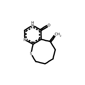 C=C1CCCCSc2nc[nH]c(=O)c21